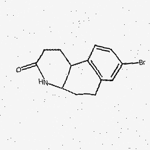 O=C1CCC2c3ccc(Br)cc3CCC2N1